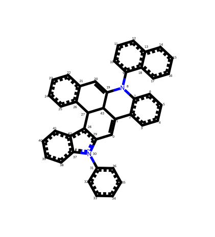 C1=C2c3ccccc3N(c3cccc4ccccc34)C3=Cc4ccccc4C(c4c1n(-c1ccccc1)c1ccccc41)C23